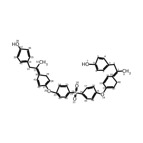 CC(Cc1ccc(O)cc1)=C1C=CC(Oc2ccc(S(=O)(=O)c3ccc(OC4=CCC(=C(C)Cc5ccc(O)cc5)C=C4)cc3)cc2)=CC1